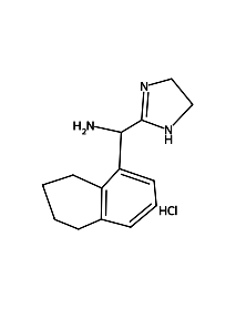 Cl.NC(C1=NCCN1)c1cccc2c1CCCC2